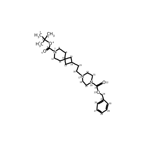 CC(C)(C)OC(=O)N1CCC2(CC1)CC(CCN1CCN(C(=O)OCc3ccccc3)CC1)C2